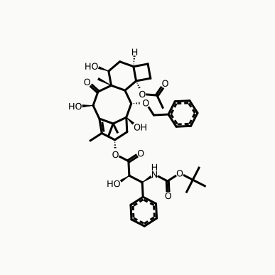 CC(=O)O[C@@]12CC[C@@H]1C[C@H](O)[C@@]1(C)C(=O)[C@H](O)C3=C(C)[C@@H](OC(=O)[C@H](O)[C@@H](NC(=O)OC(C)(C)C)c4ccccc4)C[C@@](O)([C@@H](OCc4ccccc4)C12)C3(C)C